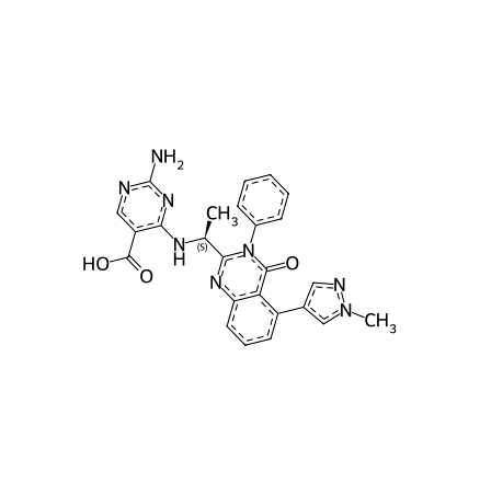 C[C@H](Nc1nc(N)ncc1C(=O)O)c1nc2cccc(-c3cnn(C)c3)c2c(=O)n1-c1ccccc1